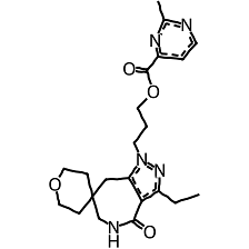 CCc1nn(CCCOC(=O)c2ccnc(C)n2)c2c1C(=O)NCC1(CCOCC1)C2